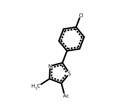 [CH2]C(=O)c1sc(-c2ccc(Cl)cc2)nc1C